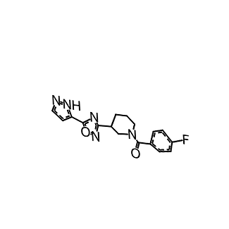 O=C(c1ccc(F)cc1)N1CCCC(c2noc(-c3ccn[nH]3)n2)C1